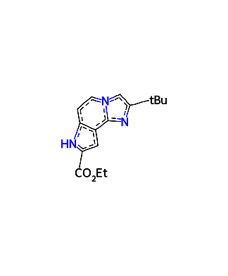 CCOC(=O)c1cc2c(ccn3cc(C(C)(C)C)nc23)[nH]1